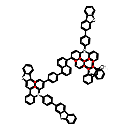 CC1C=C(c2ccccc2-c2ccccc2N(c2ccc(-c3ccc4c(c3)sc3ccccc34)cc2)c2ccc(-c3cccc4c(-c5ccc(-c6cccc(N(c7ccc(-c8ccc9c(c8)sc8ccccc89)cc7)c7ccccc7-c7ccc8c(c7)sc7ccccc78)c6)cc5)cccc34)cc2-c2ccc3c(c2)sc2ccccc23)c2ccccc2C1